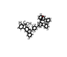 CC1(C)c2ccccc2-c2cc3c4ccccc4n(-c4ccc(-c5nc(-c6ccccc6)c6c(n5)-c5ccccc5[Si]6(c5ccccc5)c5ccccc5)cc4)c3cc21